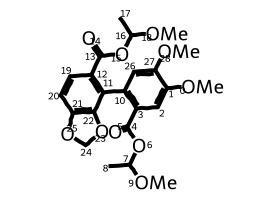 COc1cc(C(=O)OC(C)OC)c(-c2c(C(=O)OC(C)OC)ccc3c2OCO3)cc1OC